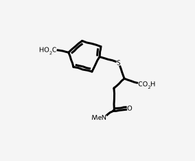 CNC(=O)CC(Sc1ccc(C(=O)O)cc1)C(=O)O